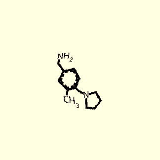 Cc1cc(CN)ccc1N1CCCC1